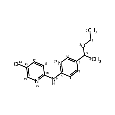 CCOC(C)c1ccc(Nc2ccc(Cl)cn2)nc1